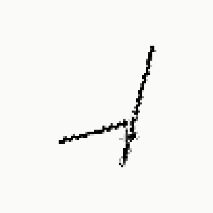 CCCCCCCCCCCCCCCCCCOCC(COC(=O)NCCOCCOC)OCCCCCCCCCCCCCCCCCC